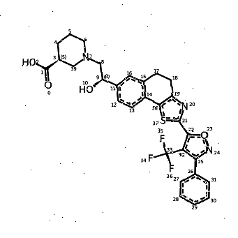 O=C(O)[C@H]1CCCN(C[C@H](O)c2ccc3c(c2)CCc2nc(-c4onc(-c5ccccc5)c4C(F)(F)F)sc2-3)C1